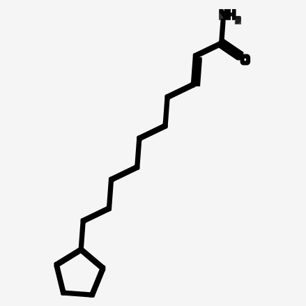 NC(=O)C=CCCCCCCCC1CCCC1